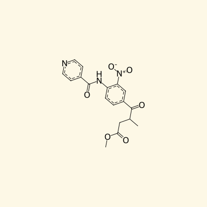 COC(=O)CC(C)C(=O)c1ccc(NC(=O)c2ccncc2)c([N+](=O)[O-])c1